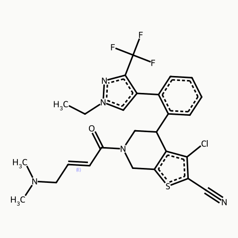 CCn1cc(-c2ccccc2C2CN(C(=O)/C=C/CN(C)C)Cc3sc(C#N)c(Cl)c32)c(C(F)(F)F)n1